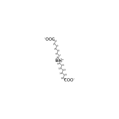 O=C([O-])CCCCCCCCCCCCCCCCC(=O)[O-].[Ba+2]